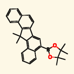 CC1(C)c2c(ccc3ccccc23)-c2cc(B3OC(C)(C)C(C)(C)O3)c3ccccc3c21